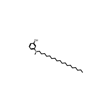 CCCCCCCCCCCCCCCCCCN(C)c1cccc(O)c1